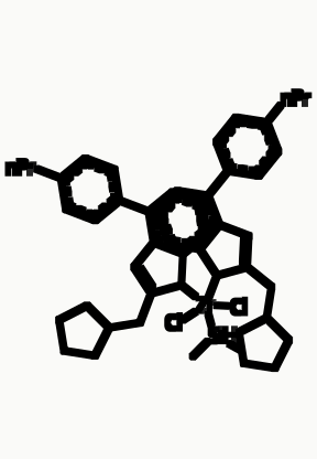 CCCc1ccc(-c2cccc3c2C=C(CC2CCCC2)[CH]3[Zr]([Cl])([Cl])([CH]2C(CC3CCCC3)=Cc3c(-c4ccc(CCC)cc4)cccc32)[SiH](C)C)cc1